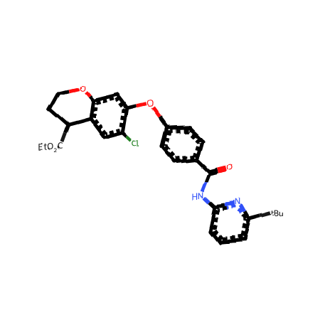 CCOC(=O)C1CCOc2cc(Oc3ccc(C(=O)Nc4cccc(C(C)(C)C)n4)cc3)c(Cl)cc21